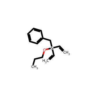 C=C[Si](C=C)(Cc1ccccc1)OCCC